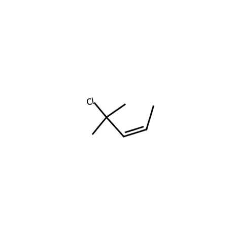 C/C=C\C(C)(C)Cl